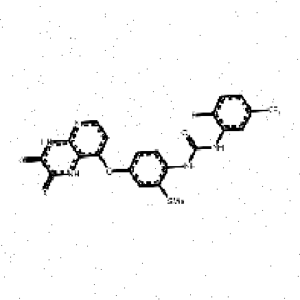 CSc1cc(Oc2ccnc3[nH]c(=O)c(=O)[nH]c23)ccc1NC(=O)Nc1cc(C(F)(F)F)ccc1F